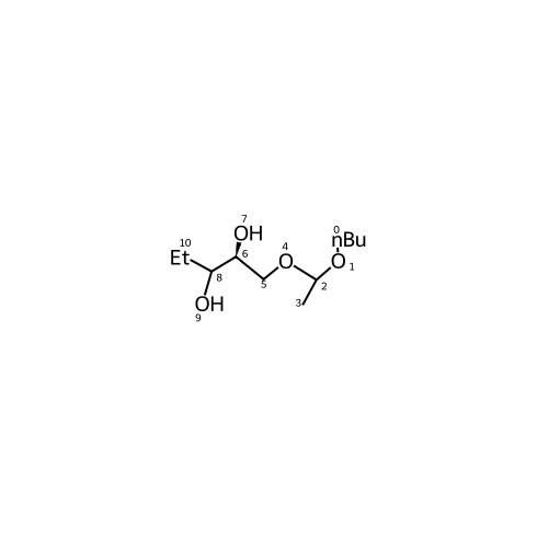 CCCCOC(C)OC[C@H](O)C(O)CC